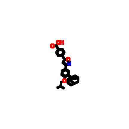 CC(C)COc1ccc(-c2cc(-c3ccc(C(=O)O)cc3)on2)cc1C12CC3CC(CC(C3)C1)C2